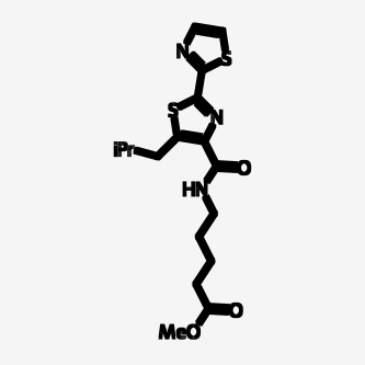 COC(=O)CCCCNC(=O)c1nc(-c2nccs2)sc1CC(C)C